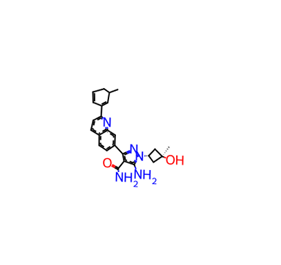 CC1C=C(c2ccc3ccc(-c4nn([C@H]5C[C@](C)(O)C5)c(N)c4C(N)=O)cc3n2)C=CC1